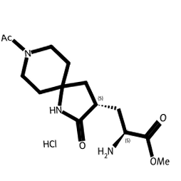 COC(=O)[C@@H](N)C[C@H]1CC2(CCN(C(C)=O)CC2)NC1=O.Cl